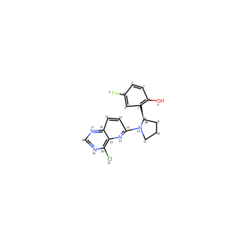 Oc1ccc(F)cc1[C@H]1CCCN1c1ccc2ncnc(Cl)c2n1